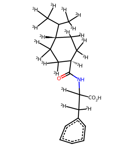 [2H]C([2H])([2H])C(C([2H])([2H])[2H])[C@]1([2H])C([2H])([2H])C([2H])([2H])[C@@]([2H])(C(=O)NC([2H])(C(=O)O)C([2H])([2H])c2ccccc2)C([2H])([2H])C1([2H])[2H]